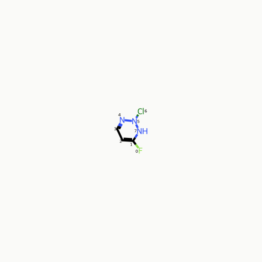 FC1=C[C]=NN(Cl)N1